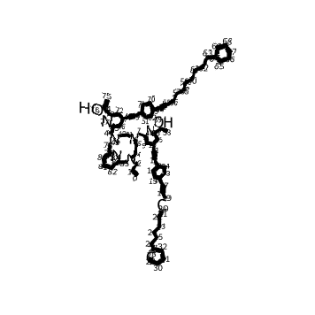 C=CCN1CCN(Cc2cc(C#Cc3ccc(C#CCCCCCCCCc4ccccc4)cc3)cc(C(=C)O)n2)CCN(Cc2cc(C#Cc3ccc(C#CCCCCCCCCc4ccccc4)cc3)cc(C(=C)O)n2)Cc2cccc(n2)C1